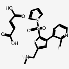 CNCc1cc(-c2cccnc2F)c(S(=O)(=O)n2cccc2)s1.O=C(O)C=CC(=O)O